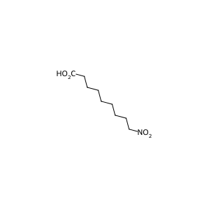 O=C(O)CCCCCCCC[N+](=O)[O-]